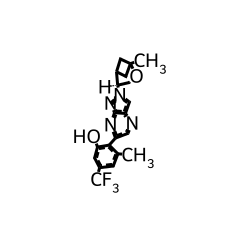 Cc1cc(C(F)(F)F)cc(O)c1-c1cnc2cn([C@@H]3COC4(C)CC3C4)nc2n1